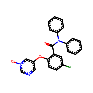 O=C(c1cc(F)ccc1Oc1cnc[n+]([O-])c1)N(c1ccccc1)c1ccccc1